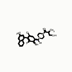 C=C(CO)C(=O)N1CCN(/C(S)=C2\C=C(Cl)C(c3cc(O)cc4ccccc34)=C(F)C2=N)CC1